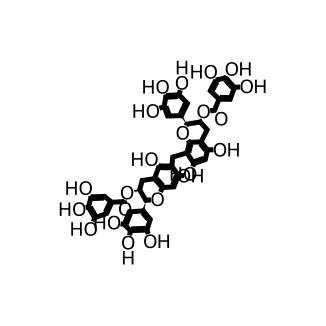 O=C(O[C@@H]1Cc2c(cc(O)c(Cc3c(O)cc(O)c4c3O[C@H](c3cc(O)c(O)c(O)c3)[C@H](OC(=O)c3cc(O)c(O)c(O)c3)C4)c2O)O[C@@H]1c1cc(O)c(O)c(O)c1)c1cc(O)c(O)c(O)c1